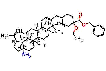 C=C(C)[C@@H]1CC[C@]2(N)CC[C@]3(C)[C@H](CC[C@@H]4[C@@]5(C)CC=C(CC6CCC(OCC)(C(=O)OCc7ccccc7)CC6)C(C)(C)[C@@H]5CC[C@]43C)[C@@H]12